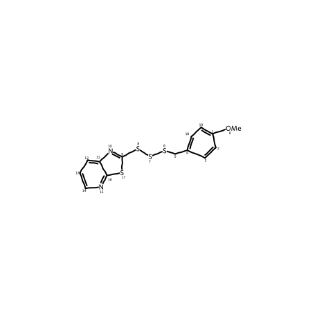 COc1ccc(CSSSc2nc3cccnc3s2)cc1